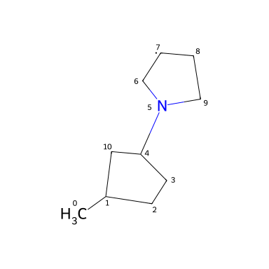 CC1CCC(N2C[CH]CC2)C1